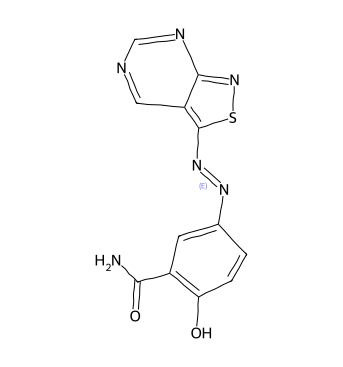 NC(=O)c1cc(/N=N/c2snc3ncncc23)ccc1O